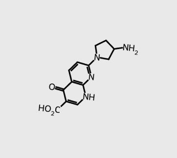 NC1CCN(c2ccc3c(=O)c(C(=O)O)c[nH]c3n2)C1